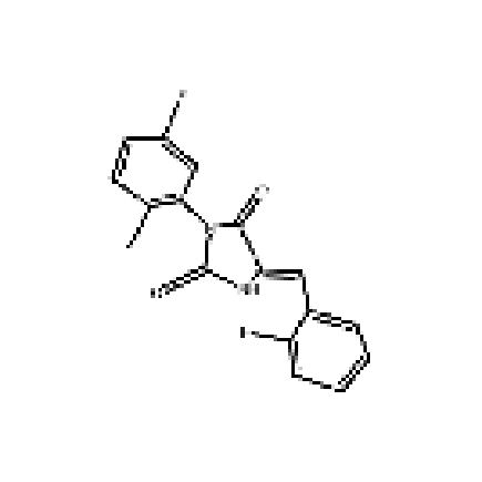 O=C1NC(=Cc2ccccc2F)C(=O)N1c1cc(F)ccc1F